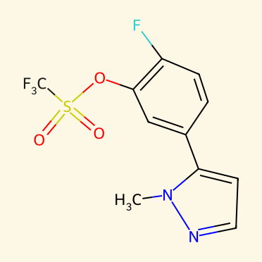 Cn1nccc1-c1ccc(F)c(OS(=O)(=O)C(F)(F)F)c1